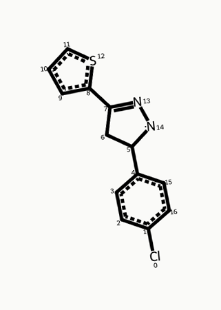 Clc1ccc(C2CC(c3cccs3)=N[N]2)cc1